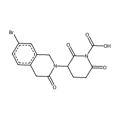 O=C(O)N1C(=O)CCC(N2Cc3cc(Br)ccc3CC2=O)C1=O